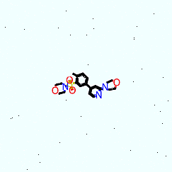 Cc1ccc(-c2ccnc(N3CCOCC3)c2)cc1S(=O)(=O)N1CCOCC1